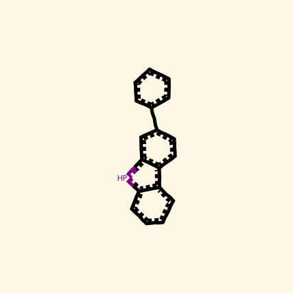 c1ccc(-c2ccc3c(c2)[pH]c2ccccc23)cc1